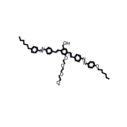 CCCCCCOc1ccc(/N=N/c2ccc(/C=C/c3cc(CO)c(/C=C/c4ccc(/N=N/c5ccc(CCCCCC)cc5)cc4)cc3OCCOCCOCCOC)cc2)cc1